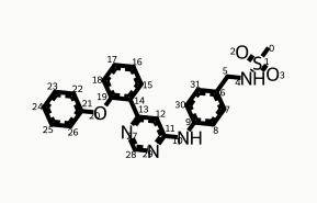 CS(=O)(=O)NCc1ccc(Nc2cc(-c3ccccc3Oc3ccccc3)ncn2)cc1